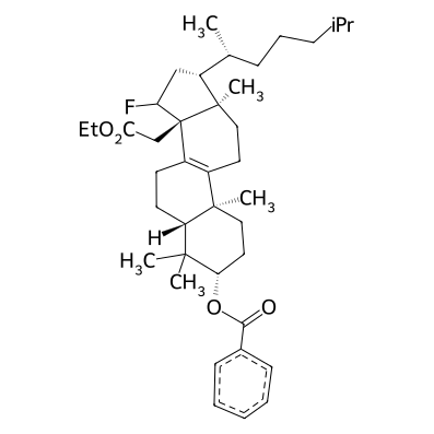 CCOC(=O)C[C@]12C3=C(CC[C@]1(C)[C@@H]([C@H](C)CCCC(C)C)CC2F)[C@@]1(C)CC[C@H](OC(=O)c2ccccc2)C(C)(C)[C@@H]1CC3